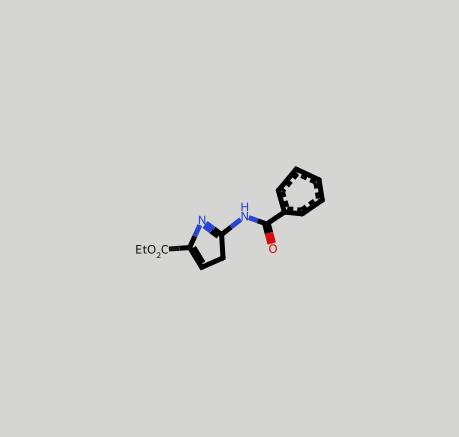 CCOC(=O)C1=CCC(NC(=O)c2ccccc2)=N1